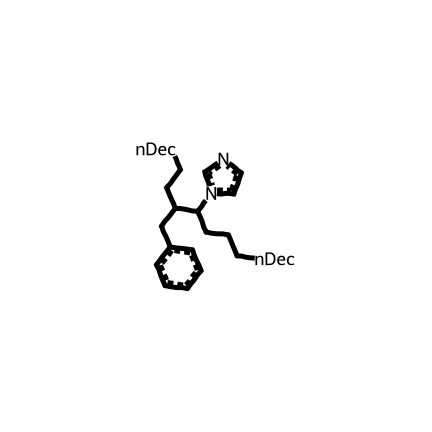 CCCCCCCCCCCCCC(C(CCCCCCCCCCCC)Cc1ccccc1)n1ccnc1